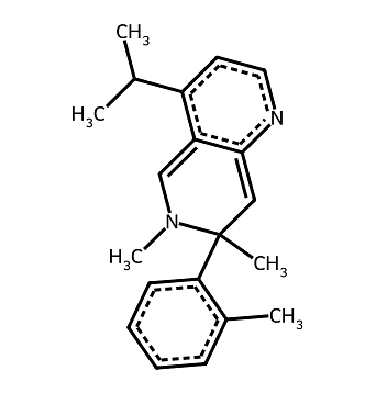 Cc1ccccc1C1(C)C=c2nccc(C(C)C)c2=CN1C